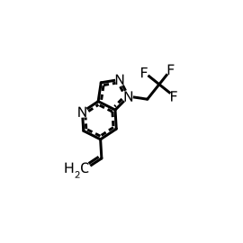 C=Cc1cnc2cnn(CC(F)(F)F)c2c1